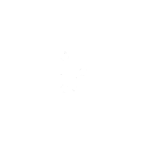 C[C@@H](COc1ccnc2c1CCCC2)CC1Cc2cc3c(cc2C12CCC(Nc1cccc(Cl)c1)(C(=O)O)CC2)OCCO3